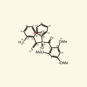 COc1cc(OC)c(C(=O)P(=O)(C(=S)c2c(C)cccc2Cl)c2ccccc2)c(OC)c1